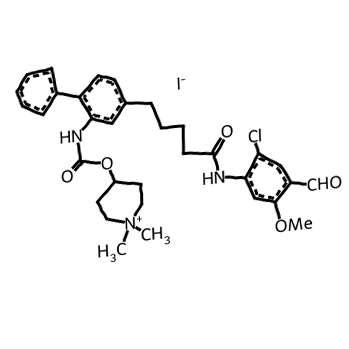 COc1cc(NC(=O)CCCCc2ccc(-c3ccccc3)c(NC(=O)OC3CC[N+](C)(C)CC3)c2)c(Cl)cc1C=O.[I-]